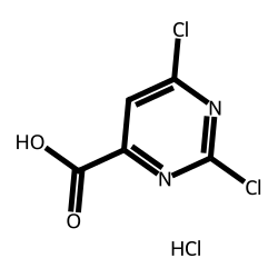 Cl.O=C(O)c1cc(Cl)nc(Cl)n1